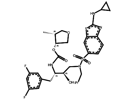 CC(C)CN(C[C@@H](O)[C@H](Cc1cc(F)cc(F)c1)NC(=O)O[C@H]1COC[C@H]1C)S(=O)(=O)c1ccc2nc(NC3CC3)sc2c1